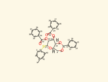 Cc1ccc(S[C@@H]2O[C@@H]3COC(c4ccccc4)O[C@@H]3[C@H](OC(=O)c3ccccc3)[C@H]2OC(=O)c2ccccc2)cc1